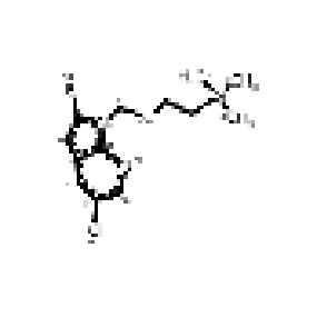 C[Si](C)(C)CCOCn1c(Br)cc2cc(Cl)cnc21